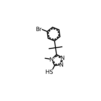 Cn1c(S)nnc1C(C)(C)c1cccc(Br)c1